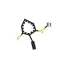 C#Cc1c(F)cccc1SCC